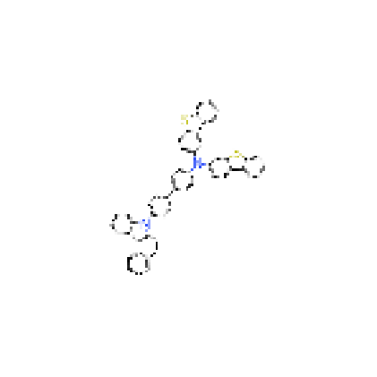 c1ccc2c(c1)ccc1c2c2ccccc2n1-c1ccc(-c2ccc(N(c3ccc4c(c3)sc3ccccc34)c3ccc4sc5ccccc5c4c3)cc2)cc1